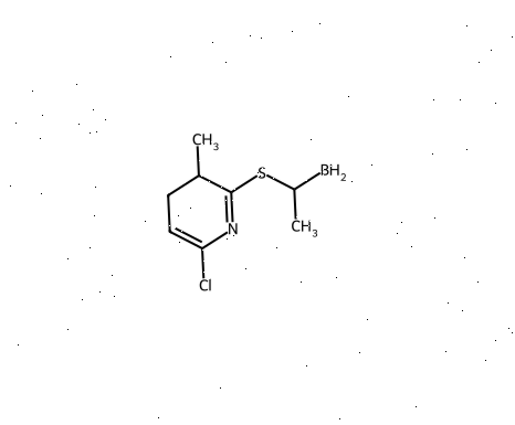 BC(C)SC1=NC(Cl)=CCC1C